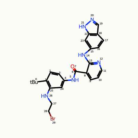 CC(C)(C)c1ccc(NC(=O)c2cccnc2Nc2ccc3cn[nH]c3c2)cc1NCCBr